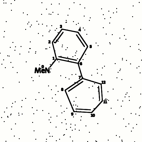 CNc1[c]cccc1-c1ccccc1